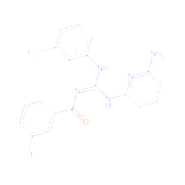 Nc1cccc(N/C(=N\C(=O)c2cccc(C(F)(F)F)c2)Nc2cccc(C(F)(F)F)c2)n1